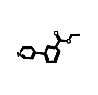 CCOC(=O)c1cccc(-c2ccncc2)c1